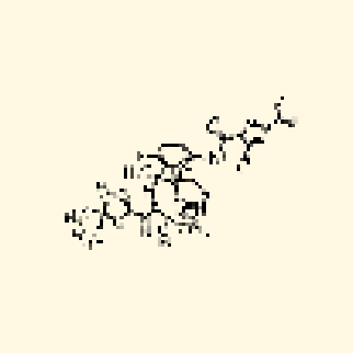 CC(C)(C)OC(=O)NC1=N[C@](C)(c2nc(NC(=O)c3nn(C(F)F)cc3Cl)ccc2F)[C@@H]2CCN=[S@]2(=O)C1(C)C